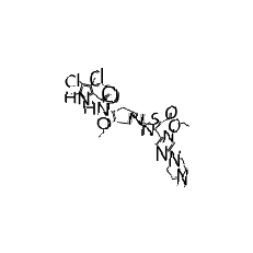 CCOC(=O)c1sc(N2CC[C@@H](NC(=O)c3[nH]c(C)c(Cl)c3Cl)[C@@H](OCC)C2)nc1-c1cnc(N2CCN(C)CC2)cn1